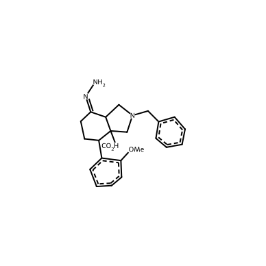 COc1ccccc1C1CC/C(=N/N)C2CN(Cc3ccccc3)CC21C(=O)O